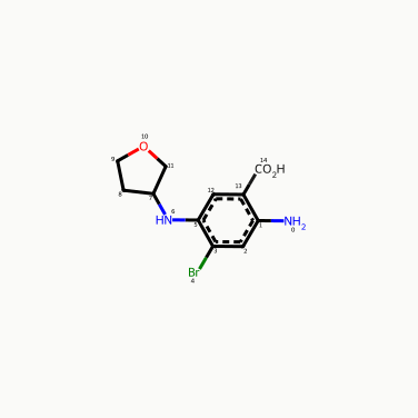 Nc1cc(Br)c(NC2CCOC2)cc1C(=O)O